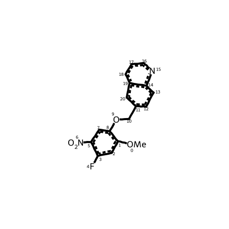 COc1cc(F)c([N+](=O)[O-])cc1OCc1ccc2ncccc2c1